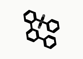 O=S(=O)(c1ccccc1)c1ccccc1-c1cccc(-c2ccccc2)c1